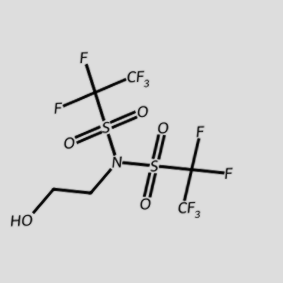 O=S(=O)(N(CCO)S(=O)(=O)C(F)(F)C(F)(F)F)C(F)(F)C(F)(F)F